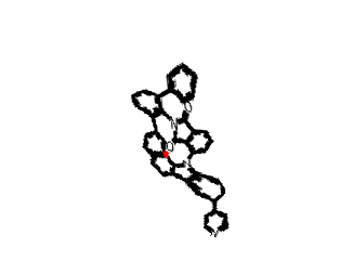 O=C1c2cccc(-n3c4ccccc4c4cc(-c5ccncc5)ccc43)c2C(=O)N1c1c(-c2ccccc2)cccc1-c1ccccc1